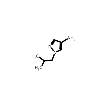 CC(C)Cn1cc(N)cn1